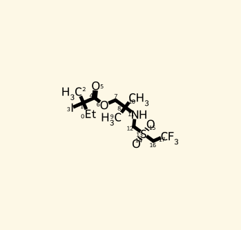 CCC(C)(I)C(=O)OCC(C)(C)NCS(=O)(=O)CC(F)(F)F